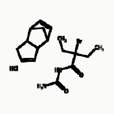 C1=CC2C3C=CC(C3)C2C1.CCC(Br)(CC)C(=O)NC(N)=O.Cl